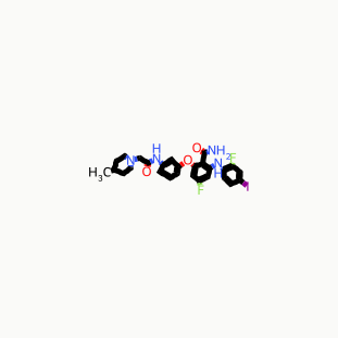 CC1CCN(CC(=O)Nc2cccc(Oc3cc(F)cc(Nc4ccc(I)cc4F)c3C(N)=O)c2)CC1